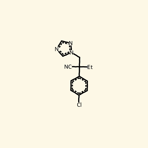 CCC(C#N)(Cn1cncn1)c1ccc(Cl)cc1